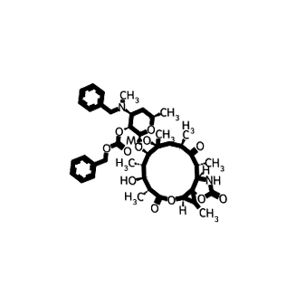 CO[C@@]1(C)C[C@@H](C)C(=O)[C@H](C)[C@H]2NC(=O)O[C@@]23C(C)[C@H]3OC(=O)[C@H](C)[C@@H](O)[C@H](C)[C@H]1O[C@@H]1O[C@H](C)C[C@H](N(C)Cc2ccccc2)[C@H]1OC(=O)OCc1ccccc1